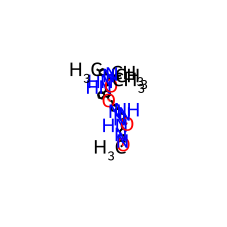 CON1CCN(CCNC(=O)c2cnc(Nc3cc(COc4ccc(NC(=O)Nc5cc(C(C)(C)C)nn5-c5ccc(C)cc5)c5ccccc45)ccn3)cn2)CC1